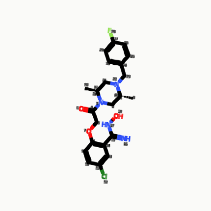 C[C@@H]1CN(C(=O)COc2ccc(Cl)cc2C(=N)NO)[C@@H](C)CN1Cc1ccc(F)cc1